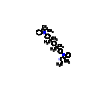 C=C/C=C\c1c(C)c2ccccc2n1-c1ccc(C(C)(C)c2ccc(C(C)(C)c3ccc(-n4c(C=C)c(C)c5c4C=CCC=C5)cc3)cc2)cc1